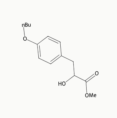 CCCCOc1ccc(CC(O)C(=O)OC)cc1